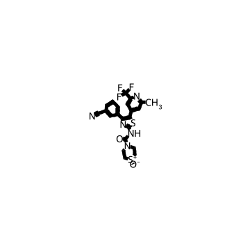 Cc1cc(-c2sc(NC(=O)N3CC[S+]([O-])CC3)nc2-c2cccc(C#N)c2)cc(C(F)(F)F)n1